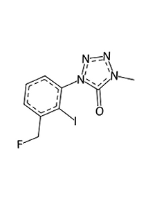 Cn1nnn(-c2cccc(CF)c2I)c1=O